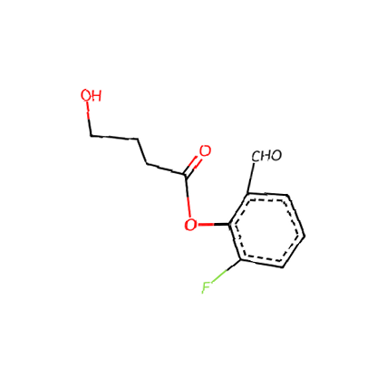 O=Cc1cccc(F)c1OC(=O)CCCO